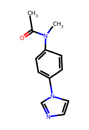 CC(=O)N(C)c1ccc(-n2ccnc2)cc1